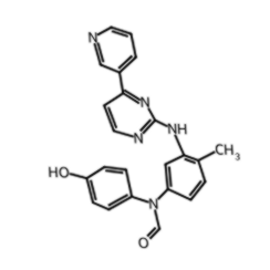 Cc1ccc(N(C=O)c2ccc(O)cc2)cc1Nc1nccc(-c2cccnc2)n1